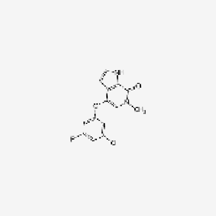 Cn1cc(Oc2cc(F)cc(Cl)c2)c2cc[nH]c2c1=O